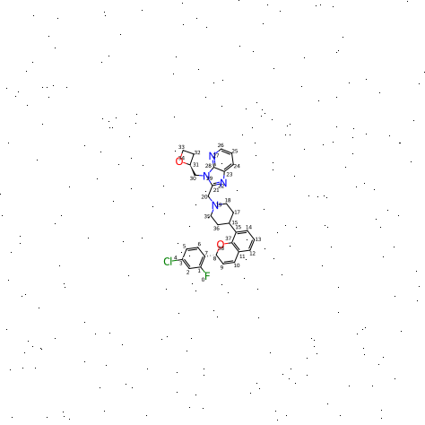 Fc1cc(Cl)ccc1[C@H]1C=Cc2cccc(C3CCN(Cc4nc5cccnc5n4C[C@@H]4CCO4)CC3)c2O1